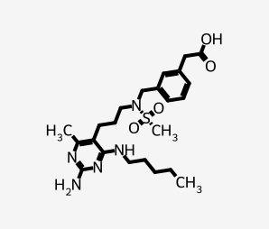 CCCCCNc1nc(N)nc(C)c1CCCN(Cc1cccc(CC(=O)O)c1)S(C)(=O)=O